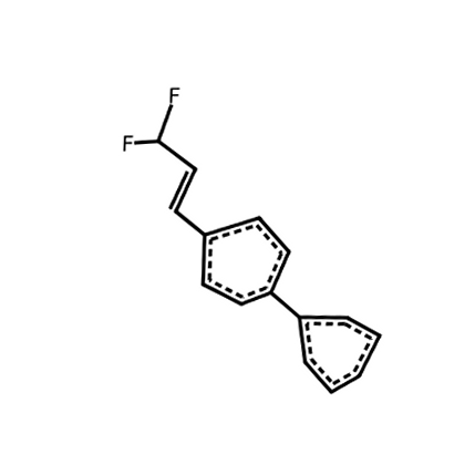 FC(F)/C=C/c1ccc(-c2ccccc2)cc1